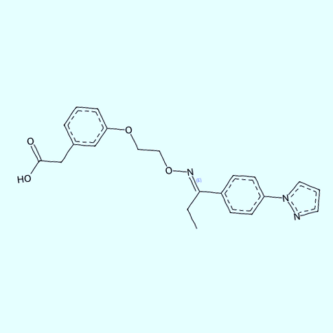 CC/C(=N\OCCOc1cccc(CC(=O)O)c1)c1ccc(-n2cccn2)cc1